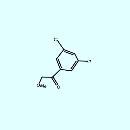 COCC(=O)c1cc(Cl)cc(Cl)c1